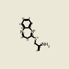 C=C(N)CSC1=Nc2ccccc2N=CC1